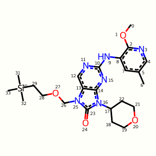 COc1ncc(C)cc1Nc1ncc2c(n1)n(C1CCOCC1)c(=O)n2COCC[Si](C)(C)C